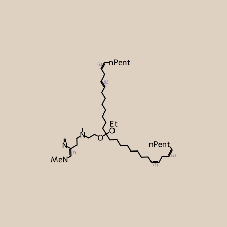 C=N/C(=C\NC)CCN(C)CCOC(CCCCCCC/C=C/C/C=C\CCCCC)(CCCCCCCC/C=C\C/C=C\CCCCC)OCC